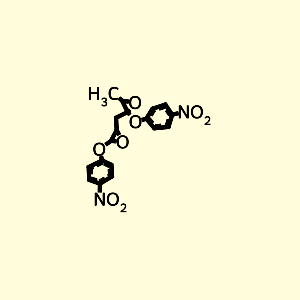 CC1OC1(CC1OC1Oc1ccc([N+](=O)[O-])cc1)Oc1ccc([N+](=O)[O-])cc1